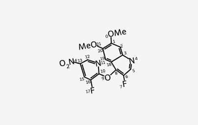 COc1cc2ncc(F)c(Oc3ncc([N+](=O)[O-])cc3F)c2cc1OC